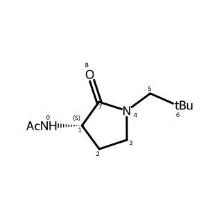 CC(=O)N[C@H]1CCN(CC(C)(C)C)C1=O